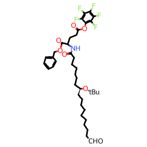 CC(C)(C)O[C@@H](CCCCCCCCCC=O)CCCCCCC(=O)NC(CCC(=O)Oc1c(F)c(F)c(F)c(F)c1F)C(=O)OCc1ccccc1